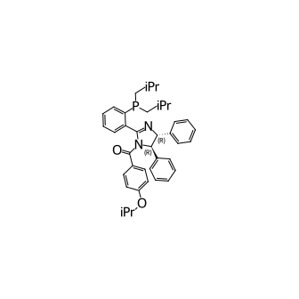 CC(C)CP(CC(C)C)c1ccccc1C1=N[C@H](c2ccccc2)[C@@H](c2ccccc2)N1C(=O)c1ccc(OC(C)C)cc1